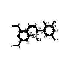 CCc1cc(CC)c2ccc(-c3cc(C)cc(C)c3C)[n+](C)c2c1